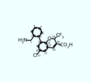 NCc1ccccc1-c1cc(Cl)cc2c1OC(C(F)(F)F)C(C(=O)O)=C2